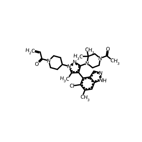 C=CC(=O)N1CCC(n2nc(N3CCN(C(C)=O)CC3(C)C)c(-c3c(Cl)c(C)cc4[nH]ncc34)c2C)CC1